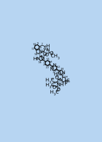 COC(=O)N[C@H]1CCc2cccc3c2N(C1=O)[C@H](c1nc(-c2ccc(-c4ncc(-c5cnc(C6CC(F)(F)CN6C(=O)[C@@H](NC(=O)OC)C(C)C)[nH]5)cn4)cc2)c[nH]1)C3